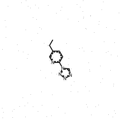 C[CH]c1ccc(-n2cnnn2)nc1